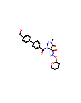 CNC(=O)[C@@](C)(C(=O)NOC1CCCCO1)N(C)C(=O)c1ccc(-c2ccc(C=O)cc2)cc1